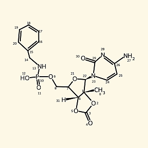 C[C@@]12OC(=O)O[C@@H]1C(COP(=O)(O)NCc1ccccc1)O[C@H]2n1ccc(N)nc1=O